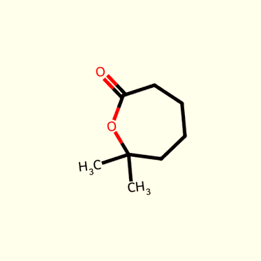 CC1(C)CCCCC(=O)O1